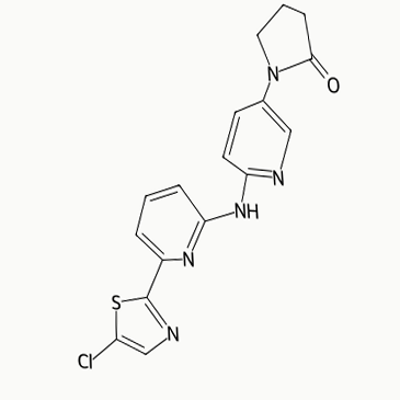 O=C1CCCN1c1ccc(Nc2cccc(-c3ncc(Cl)s3)n2)nc1